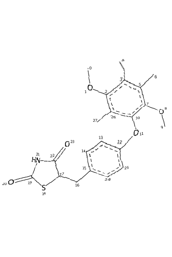 COc1c(C)c(C)c(OC)c(Oc2ccc(CC3SC(=O)NC3=O)cc2)c1C